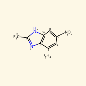 C.O=[N+]([O-])c1ccc2nc(C(F)(F)F)[nH]c2c1